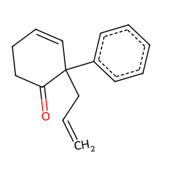 C=CCC1(c2ccccc2)C=CCCC1=O